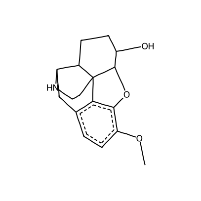 COc1ccc2c3c1OC1C(O)CCC4C(C2)NCCC341